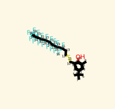 Cc1cc(C(C)(C)C)cc(CSCCC(F)(F)C(F)(F)C(F)(F)C(F)(F)C(F)(F)C(F)(F)C(F)(F)C(F)(F)F)c1O